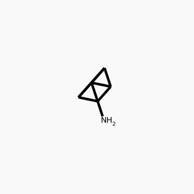 NC12C3C4C1C432